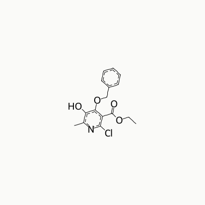 CCOC(=O)c1c(Cl)nc(C)c(O)c1OCc1ccccc1